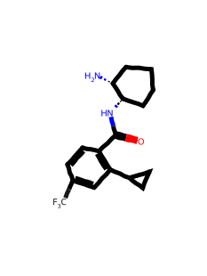 N[C@@H]1CCCC[C@@H]1NC(=O)c1ccc(C(F)(F)F)cc1C1CC1